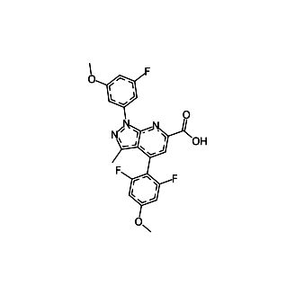 COc1cc(F)cc(-n2nc(C)c3c(-c4c(F)cc(OC)cc4F)cc(C(=O)O)nc32)c1